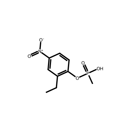 CCc1cc([N+](=O)[O-])ccc1OP(C)(=O)O